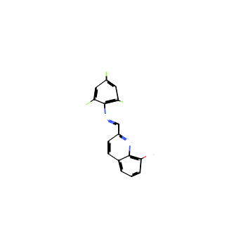 Oc1cccc2ccc(/C=N/c3c(F)cc(F)cc3F)nc12